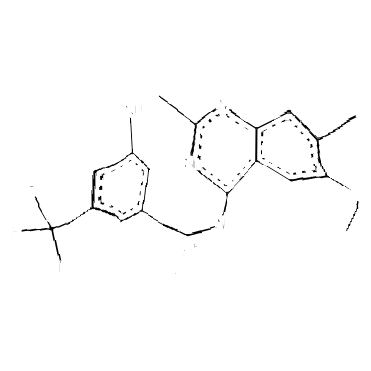 COc1cc2c(N[C@H](C)c3cc(N)cc(C(F)(F)F)c3)nc(C)nc2cc1C